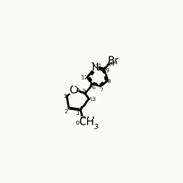 CC1CCOC(c2ccc(Br)nc2)C1